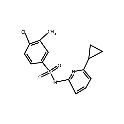 Cc1cc(S(=O)(=O)Nc2cccc(C3CC3)n2)ccc1Cl